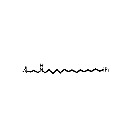 CC(C)CCCCCCCCCCCCCCCNCCCN(C)C